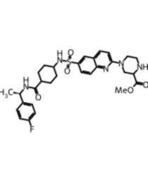 COC(=O)C1CN(c2ccc3cc(S(=O)(=O)NC4CCC(C(=O)N[C@H](C)c5ccc(F)cc5)CC4)ccc3n2)CCN1